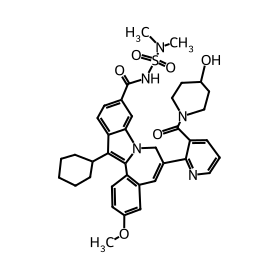 COc1ccc2c(c1)C=C(c1ncccc1C(=O)N1CCC(O)CC1)Cn1c-2c(C2CCCCC2)c2ccc(C(=O)NS(=O)(=O)N(C)C)cc21